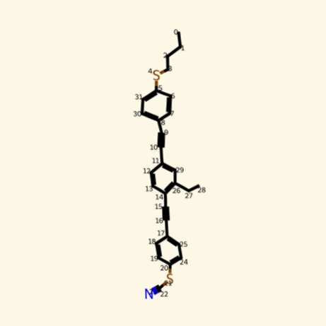 CCCCSc1ccc(C#Cc2ccc(C#Cc3ccc(SC#N)cc3)c(CC)c2)cc1